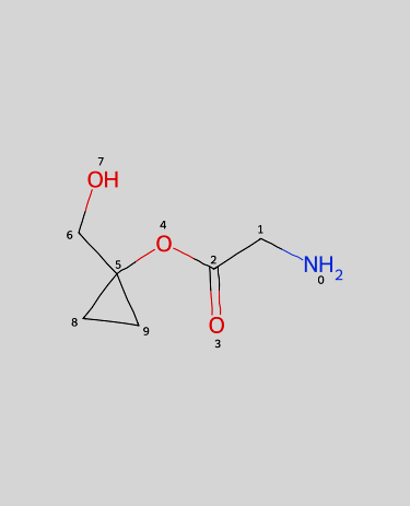 NCC(=O)OC1(CO)CC1